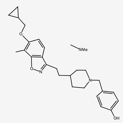 CNC.Cc1c(OCC2CC2)ccc2c(CCC3CCN(Cc4ccc(O)cc4)CC3)noc12